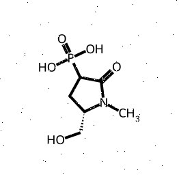 CN1C(=O)C(P(=O)(O)O)C[C@H]1CO